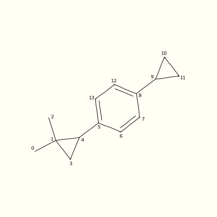 CC1(C)CC1c1ccc(C2CC2)cc1